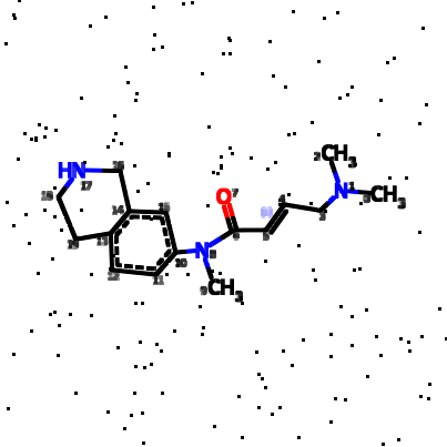 CN(C)C/C=C/C(=O)N(C)c1ccc2c(c1)CNCC2